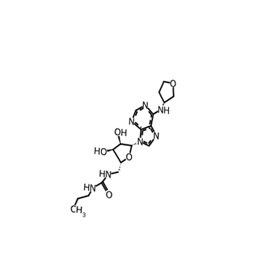 CCCNC(=O)NC[C@H]1O[C@@H](n2cnc3c(N[C@@H]4CCOC4)ncnc32)[C@H](O)[C@@H]1O